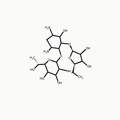 CC[C@H]1O[C@@H](OC2C(O)C(N)CC(N)C2OC2OC([C@@H](C)O)C(O)C(O)C2N)C(O)C1O